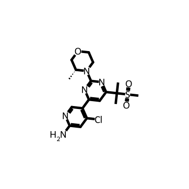 C[C@@H]1COCCN1c1nc(-c2cnc(N)cc2Cl)cc(C(C)(C)S(C)(=O)=O)n1